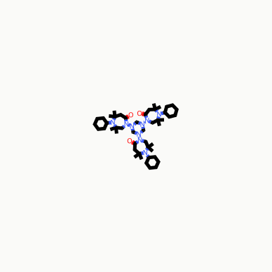 CC1(C)CC(=O)N(N2CN(N3CC(C)(C)N(C4CCCCC4)C(C)(C)CC3=O)CN(N3CC(C)(C)N(C4CCCCC4)C(C)(C)CC3=O)C2)CC(C)(C)N1C1CCCCC1